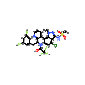 Cn1nc(NS(C)(=O)=O)c2c(Cl)ccc(-c3cccnc3C(Cc3cc(F)cc(F)c3)NC(=O)C(F)(F)F)c21